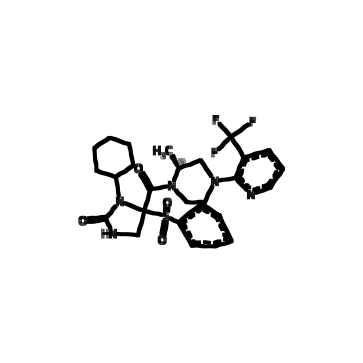 C[C@H]1CN(c2ncccc2C(F)(F)F)CCN1C(=O)C1(S(=O)(=O)c2ccccc2)CNC(=O)N1C1CCCCC1